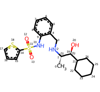 C[C@H](NCc1ccccc1NS(=O)(=O)c1cccs1)[C@@H](O)C1CCCCC1